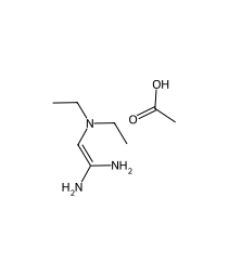 CC(=O)O.CCN(C=C(N)N)CC